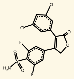 NS(=O)(=O)c1c(F)cc(C2=C(c3cc(Cl)cc(Cl)c3)C(=O)OC2)cc1F